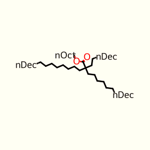 CCCCCCCCCCCCCCCCCCC(CCCCCCCCCCCC)(CCCCCCCCCCCCCCCC)C(=O)OCCCCCCCC